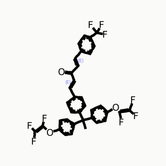 CC(c1ccc(/C=C/C(=O)/C=C/c2ccc(C(F)(F)F)cc2)cc1)(c1ccc(OC(F)=C(F)F)cc1)c1ccc(OC(F)=C(F)F)cc1